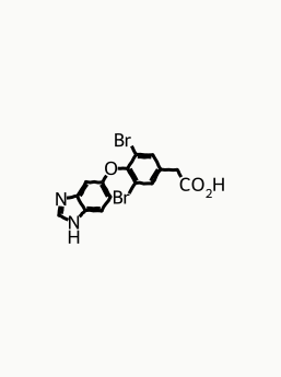 O=C(O)Cc1cc(Br)c(Oc2ccc3[nH]cnc3c2)c(Br)c1